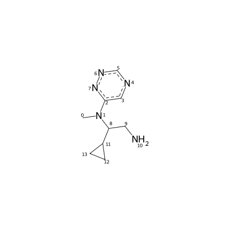 CN(c1cncnn1)C(CN)C1CC1